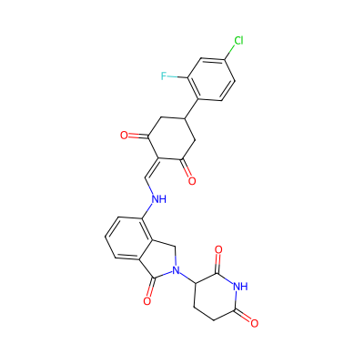 O=C1CCC(N2Cc3c(NC=C4C(=O)CC(c5ccc(Cl)cc5F)CC4=O)cccc3C2=O)C(=O)N1